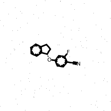 N#Cc1ccc(O[C@H]2CCc3ccccc32)cc1F